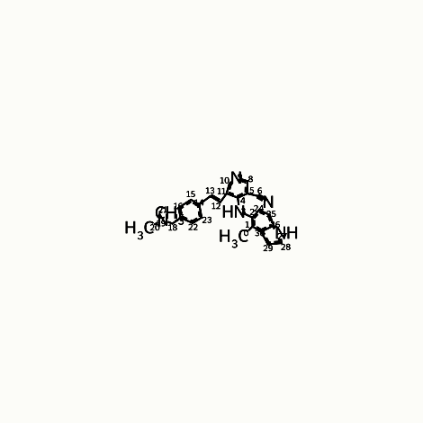 Cc1c(Nc2c(C#N)cncc2C=Cc2ccc(CN(C)C)cc2)ccc2[nH]ccc12